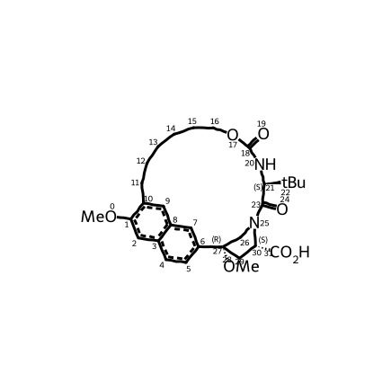 COc1cc2ccc3cc2cc1CCCCCCOC(=O)N[C@@H](C(C)(C)C)C(=O)N1C[C@@]3(OC)C[C@H]1C(=O)O